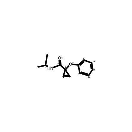 CC(C)NC(=O)C1(Oc2ccccc2)CC1